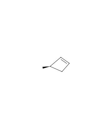 C[C@H]1C=CC1